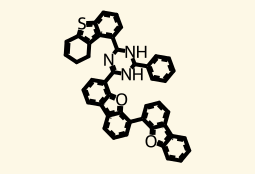 C1=Cc2sc3cccc(C4N=C(c5cccc6c5oc5c(-c7cccc8c7oc7ccccc78)cccc56)NC(c5ccccc5)N4)c3c2CC1